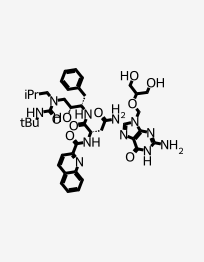 CC(C)CN(C[C@@H](O)[C@H](Cc1ccccc1)NC(=O)[C@H](CC(N)=O)NC(=O)c1ccc2ccccc2n1)C(=O)NC(C)(C)C.Nc1nc2c(ncn2COC(CO)CO)c(=O)[nH]1